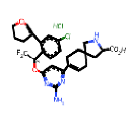 Cl.Nc1nc(O[C@H](c2ccc(Cl)cc2C2=COCCC2)C(F)(F)F)cc(C2=CCC3(CC2)CNC(C(=O)O)C3)n1